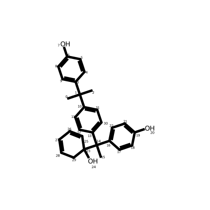 CC(C)(c1ccc(O)cc1)c1ccc(C(C)(c2ccc(O)cc2)C2(O)C=CC=CC2)cc1